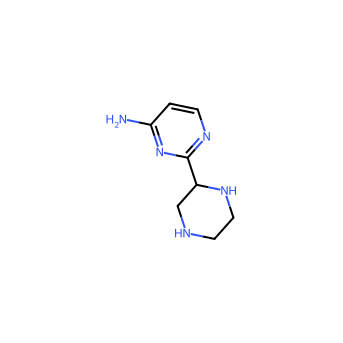 Nc1ccnc(C2CNCCN2)n1